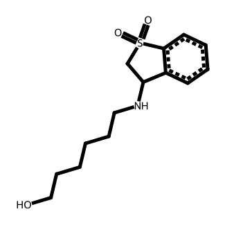 O=S1(=O)CC(NCCCCCCO)c2ccccc21